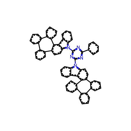 c1ccc(-c2nc(-n3c4ccccc4c4c5c(ccc43)-c3ccccc3-c3ccccc3-c3ccccc3-5)nc(-n3c4ccccc4c4c5c(ccc43)-c3ccccc3-c3ccccc3-c3ccccc3-5)n2)cc1